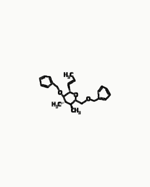 C/C=C/[C@H]1OC(COCc2ccccc2)[C@@H](C)[C@H](C)C1OCc1ccccc1